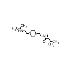 CC(C)CC(=O)NCCN1CCN(CCNC(C)C)CC1